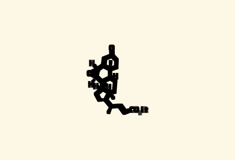 CCOC(=O)/C=C/[C@@H](C)[C@H]1CC[C@H]2[C@@H]3[C@H]4O[C@@H]4C4=CC(=O)CC[C@]4(C)[C@H]3CC[C@]12C